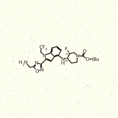 CC(C)(C)OC(=O)N1CC[C@@H](Nc2cccc3c2cc(-c2noc(CN)n2)n3CC(F)(F)F)[C@@H](F)C1